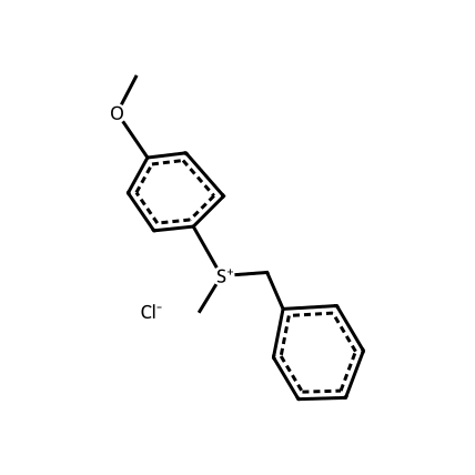 COc1ccc([S+](C)Cc2ccccc2)cc1.[Cl-]